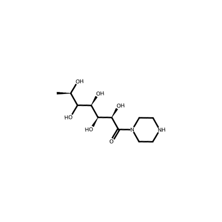 C[C@@H](O)C(O)[C@@H](O)[C@H](O)[C@@H](O)C(=O)N1CCNCC1